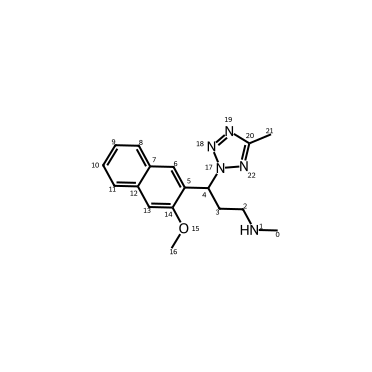 CNCCC(c1cc2ccccc2cc1OC)n1nnc(C)n1